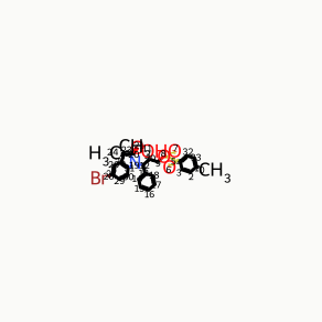 Cc1ccc(S(=O)(=O)OCC(O)C(c2ccccc2)N2C(=O)C(C)(C)c3cc(Br)ccc32)cc1